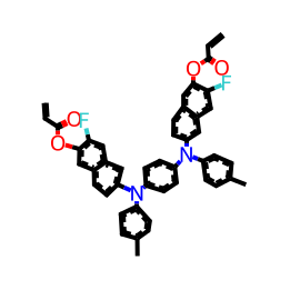 C=CC(=O)Oc1cc2ccc(N(c3ccc(C)cc3)c3ccc(N(c4ccc(C)cc4)c4ccc5cc(OC(=O)C=C)c(F)cc5c4)cc3)cc2cc1F